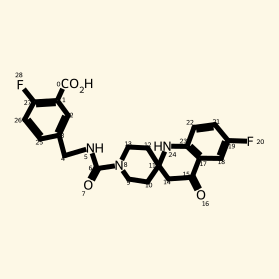 O=C(O)c1cc(CNC(=O)N2CCC3(CC2)CC(=O)c2cc(F)ccc2N3)ccc1F